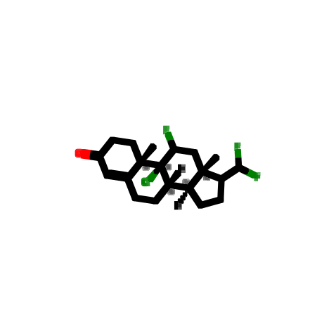 C[C@]12CCC(=O)C=C1CC[C@H]1[C@@H]3CCC(C(F)F)[C@@]3(C)CC(F)[C@]12Cl